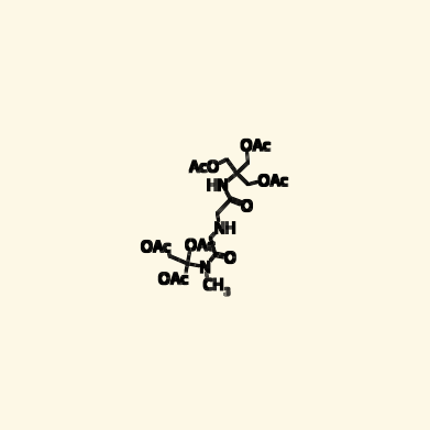 CC(=O)OCC(COC(C)=O)(COC(C)=O)NC(=O)CNCC(=O)N(C)C(COC(C)=O)(OC(C)=O)OC(C)=O